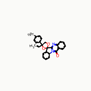 C=CC1(c2ccc(CCC)cc2)COC2(O1)c1ccccc1-n1c2nc2ccccc2c1=O